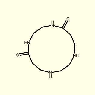 O=C1CCNCCNCCC(=O)NCCN1